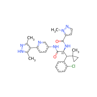 Cc1n[nH]c(C)c1-c1ccc(NC(=O)[C@@H](NC(=O)c2ccnn2C)C(c2ccccc2Cl)C2(C)CC2)cn1